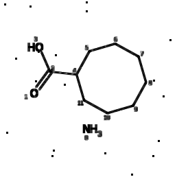 N.O=C(O)C1CCCCCCC1